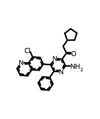 Nc1nc(-c2ccccc2)c(-c2cc(Cl)c3ncccc3c2)nc1C(=O)CC1CCCC1